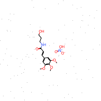 COc1cc(C=CC(=O)NCCCO)cc(OC)c1OC.O=[N+]([O-])O